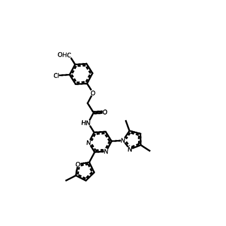 Cc1cc(C)n(-c2cc(NC(=O)COc3ccc(C=O)c(Cl)c3)nc(-c3ccc(C)o3)n2)n1